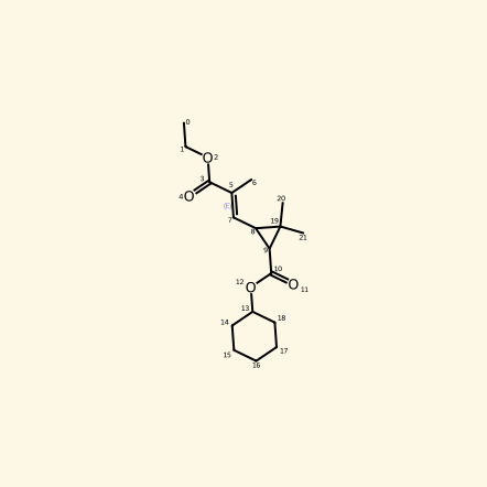 CCOC(=O)/C(C)=C/C1C(C(=O)OC2CCCCC2)C1(C)C